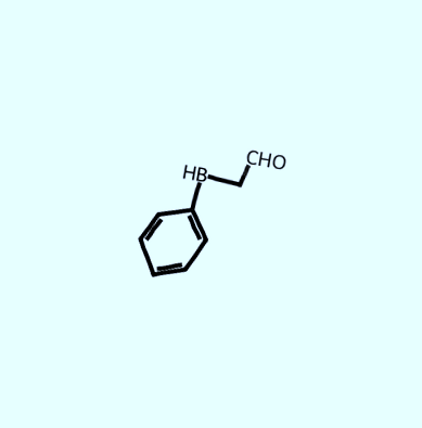 O=CCBc1ccccc1